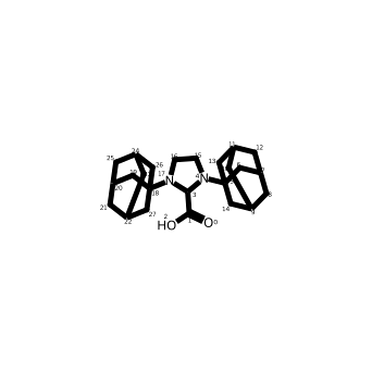 O=C(O)C1N(C23CC4CC(CC(C4)C2)C3)CCN1C12CC3CC(CC(C3)C1)C2